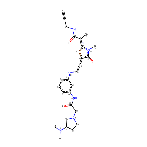 C#CCNC(=O)/C(C#N)=c1\sc(=C=CNc2cccc(NC(=O)CN3CCC(N(C)C)C3)c2)c(=O)n1CC